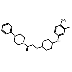 Cc1cc(NC2CCC(OCC(=S)N3CCN(c4ccccc4)CC3)CC2)ccc1[N+](=O)[O-]